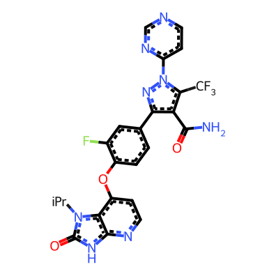 CC(C)n1c(=O)[nH]c2nccc(Oc3ccc(-c4nn(-c5ccncn5)c(C(F)(F)F)c4C(N)=O)cc3F)c21